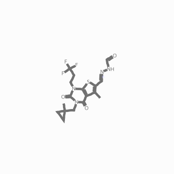 Cc1c(/C=N/NC=O)sc2c1c(=O)n(CC1(C)CC1)c(=O)n2CCC(F)(F)F